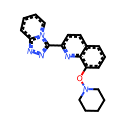 c1cc(ON2CCCCC2)c2nc(-c3nnc4ccccn34)ccc2c1